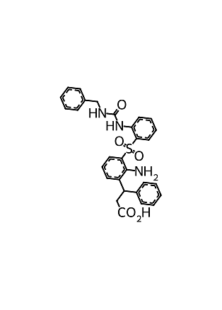 Nc1c(C(CC(=O)O)c2ccccc2)cccc1S(=O)(=O)c1ccccc1NC(=O)NCc1ccccc1